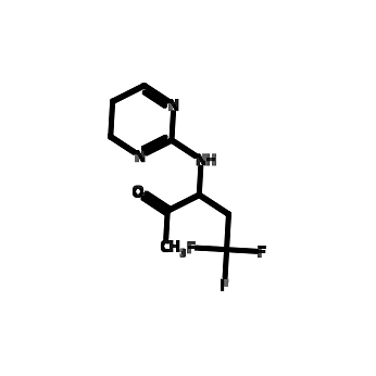 CC(=O)C(CC(F)(F)F)NC1=NCCC=N1